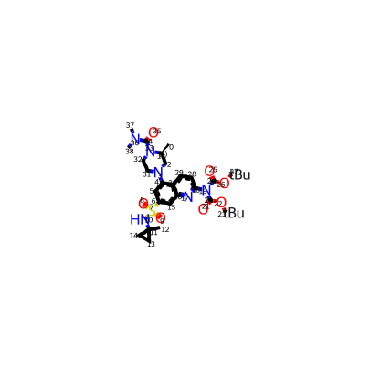 C[C@H]1CN(c2cc(S(=O)(=O)NC3(C)CC3)cc3nc(N(C(=O)OC(C)(C)C)C(=O)OC(C)(C)C)ccc23)CCN1C(=O)N(C)C